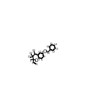 C=CC1(C)Oc2ccc(OCc3ccccc3)cc2C(C)C1(C)C